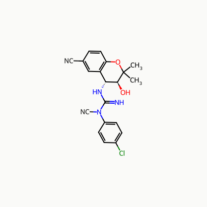 CC1(C)Oc2ccc(C#N)cc2[C@@H](NC(=N)N(C#N)c2ccc(Cl)cc2)[C@@H]1O